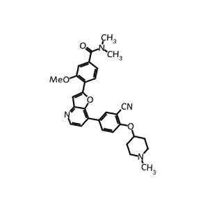 COc1cc(C(=O)N(C)C)ccc1-c1cc2nccc(-c3ccc(OC4CCN(C)CC4)c(C#N)c3)c2o1